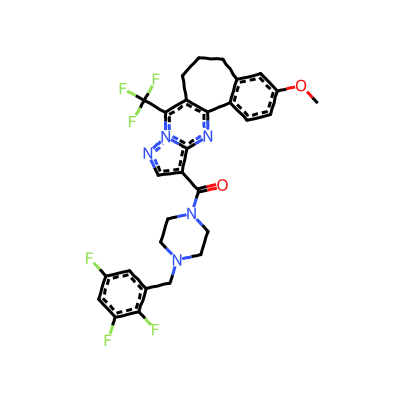 COc1ccc2c(c1)CCCc1c-2nc2c(C(=O)N3CCN(Cc4cc(F)cc(F)c4F)CC3)cnn2c1C(F)(F)F